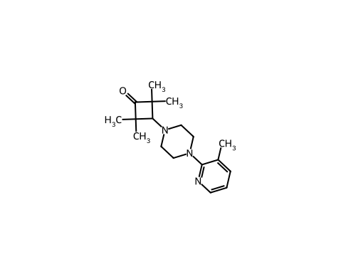 Cc1cccnc1N1CCN(C2C(C)(C)C(=O)C2(C)C)CC1